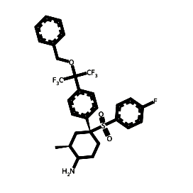 C[C@H]1C[C@](c2ccc(C(OCc3ccccc3)(C(F)(F)F)C(F)(F)F)cc2)(S(=O)(=O)c2ccc(F)cc2)CCC1N